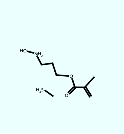 C=C(C)C(=O)OCCC[SiH2]O.C[SiH3]